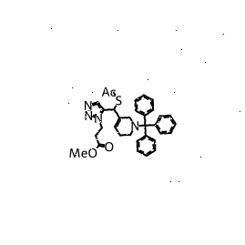 COC(=O)CCn1nncc1C(SC(C)=O)C1=CCCN(C(c2ccccc2)(c2ccccc2)c2ccccc2)C1